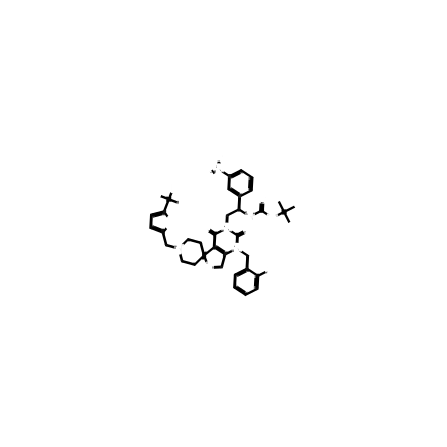 CC(C)(C)OC(=O)NC(Cn1c(=O)c2c(n(Cc3ccccc3F)c1=O)COC21CCN(Cc2ccc(C(F)(F)F)o2)CC1)c1cccc([N+](=O)[O-])c1